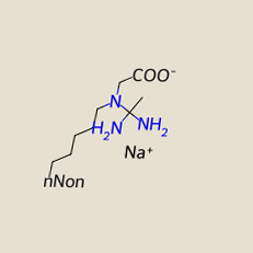 CCCCCCCCCCCCCCN(CC(=O)[O-])C(C)(N)N.[Na+]